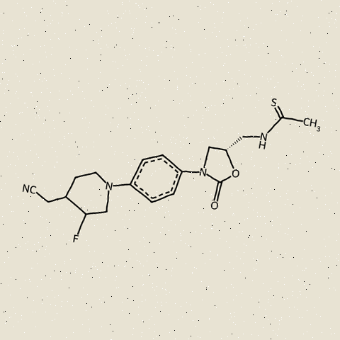 CC(=S)NC[C@H]1CN(c2ccc(N3CCC(CC#N)C(F)C3)cc2)C(=O)O1